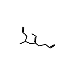 C=CCCC(=CC)CC(C)CC=C